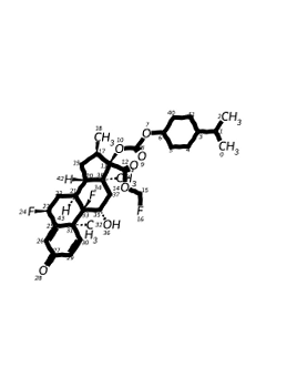 CC(C)C1CCC(OC(=O)O[C@]2(C(=O)OCF)[C@H](C)C[C@H]3[C@@H]4C[C@H](F)C5=CC(=O)C=C[C@]5(C)[C@@]4(F)[C@@H](O)C[C@@]32C)CC1